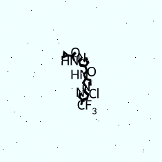 O=C(NC1CCN(c2ncc(C(F)(F)F)cc2Cl)C1)c1ccnc(NC(=O)C2CC2)c1